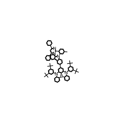 Cc1ccc(-c2nc(-c3ccccc3)cc(-c3ccccc3)n2)c(-n2c3ccccc3c3cc(-c4cc5c6c(c4)N(c4cc(C(C)(C)C)cc(C(C)(C)C)c4)c4ccccc4B6c4ccccc4N5c4cc(C(C)(C)C)cc(C(C)(C)C)c4)ccc32)c1